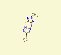 Cn1nc(I)c(Cn2cc(C3CCC3)nn2)n1